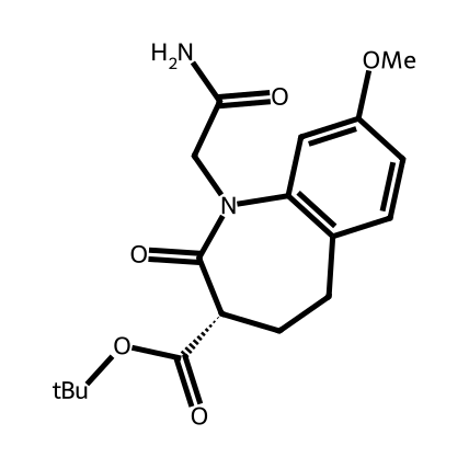 COc1ccc2c(c1)N(CC(N)=O)C(=O)[C@@H](C(=O)OC(C)(C)C)CC2